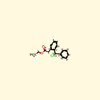 CCOC(=O)Cc1ccccc1C(Cl)c1ccccc1